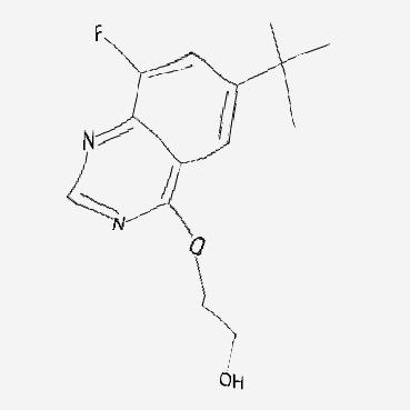 CC(C)(C)c1cc(F)c2ncnc(OCCO)c2c1